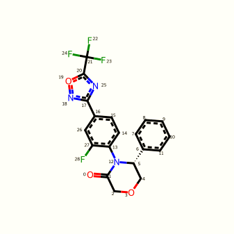 O=C1COC[C@@H](c2ccccc2)N1c1ccc(-c2noc(C(F)(F)F)n2)cc1F